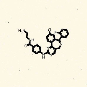 NCCNC(=O)c1ccc(Nc2ncc3c(n2)-c2ccc(Cl)cc2C(c2ccccc2F)=NC3)cc1